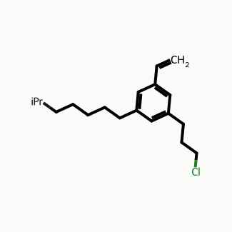 C=Cc1cc(CCCCl)cc(CCCCCC(C)C)c1